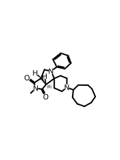 CN1C(=O)[C@@H]2[C@@H](CN(c3ccccc3)C23CCN(C2CCCCCCCC2)CC3)C1=O